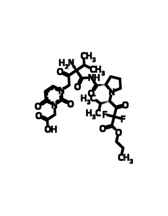 CCCOC(=O)C(F)(F)C(=O)[C@H](C(C)C)N1CCC[C@H]1C(=O)NC(=O)[C@](N)(C(=O)Cn1ccc(=O)n(CC(=O)O)c1=O)C(C)C